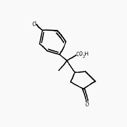 CC(C(=O)O)(c1ccc(Cl)cc1)C1CCC(=O)C1